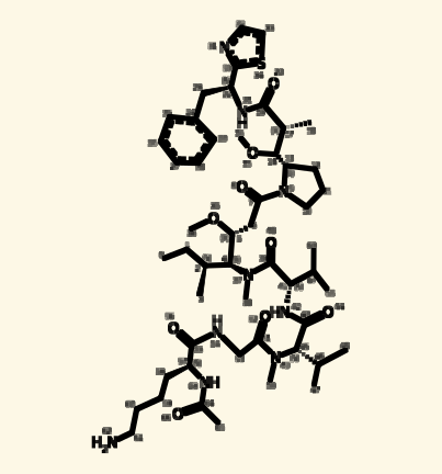 CC[C@H](C)[C@@H]([C@@H](CC(=O)N1CCC[C@H]1C(OC)[C@@H](C)C(=O)N[C@@H](Cc1ccccc1)c1nccs1)OC)N(C)C(=O)[C@@H](NC(=O)[C@H](C(C)C)N(C)C(=O)CNC(=O)[C@H](CCCCN)NC(C)=O)C(C)C